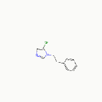 Brc1cncn1CCc1ccccc1